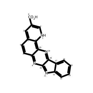 O=C(O)c1c[nH]c2c(ccc3nc4nc5ccccc5c4nc32)c1